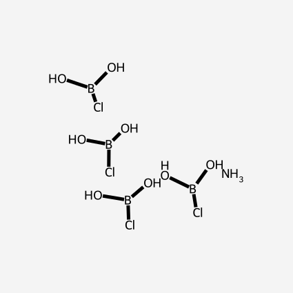 N.OB(O)Cl.OB(O)Cl.OB(O)Cl.OB(O)Cl